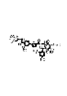 CCCCC[C@@H](C(=O)NCNC(=O)c1ccc(-c2ccc(C(=O)N[C@@H](CC(=O)O)C(=O)O)c(OCC)c2)o1)[C@@H](CC)N(C=O)OC(=O)c1ccc(N=O)cc1C